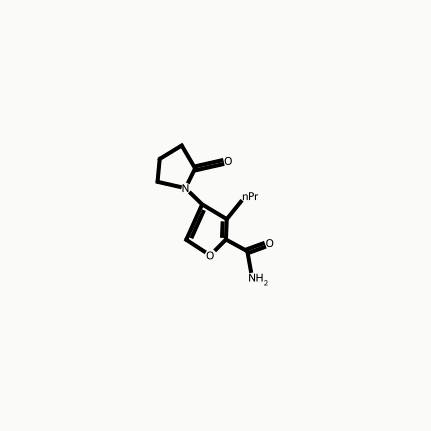 CCCc1c(N2CCCC2=O)coc1C(N)=O